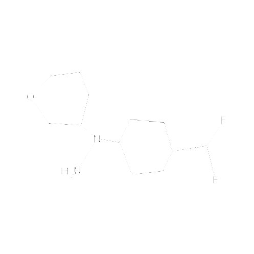 NN(C1CCC(C(F)F)CC1)C1CCCOC1